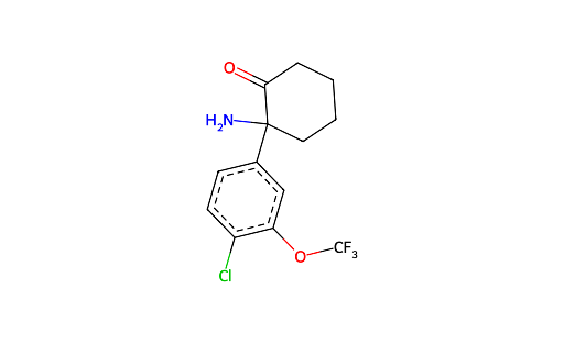 NC1(c2ccc(Cl)c(OC(F)(F)F)c2)CCCCC1=O